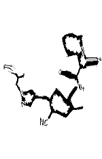 Cc1cc(C#N)c(-c2cnn(CC(F)F)c2)cc1NC(=O)c1cnn2ccccc12